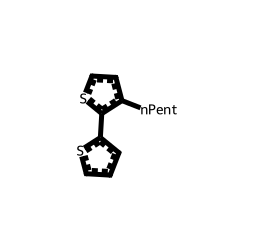 CCCCCc1ccsc1-c1cccs1